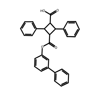 O=C(O)C1C(c2ccccc2)C(C(=O)Oc2cccc(-c3ccccc3)c2)C1c1ccccc1